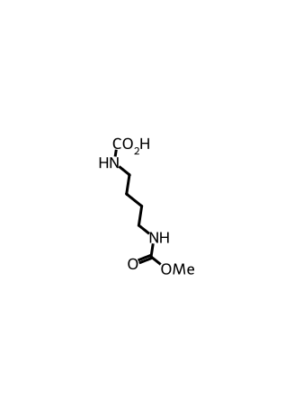 COC(=O)NCCCCNC(=O)O